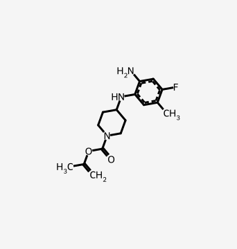 C=C(C)OC(=O)N1CCC(Nc2cc(C)c(F)cc2N)CC1